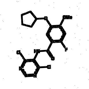 COc1cc(F)c(C(=O)Nc2c(Cl)ncnc2Cl)cc1OC1CCCC1